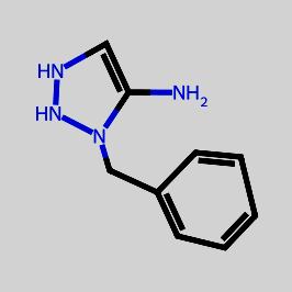 NC1=CNNN1Cc1ccccc1